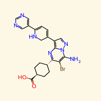 Nc1c(Br)c([C@H]2CC[C@H](C(=O)O)CC2)nc2c(C3=CC=C(c4cncnc4)NC3)cnn12